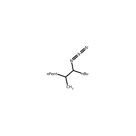 CCCCCC(C)C(CCCC)N=[N+]=[N-]